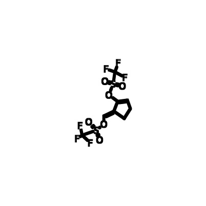 O=S(=O)(O/C=C1\CCC=C1OS(=O)(=O)C(F)(F)F)C(F)(F)F